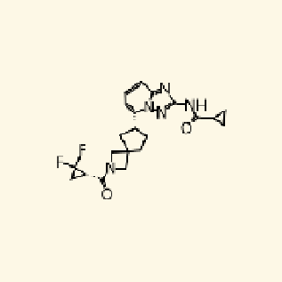 O=C(Nc1nc2cccc([C@@H]3CCC4(C3)CN(C(=O)[C@@H]3CC3(F)F)C4)n2n1)C1CC1